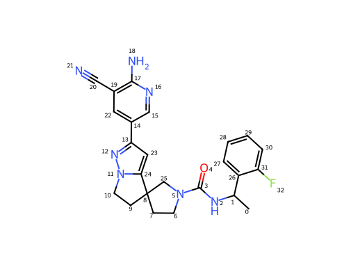 CC(NC(=O)N1CCC2(CCn3nc(-c4cnc(N)c(C#N)c4)cc32)C1)c1ccccc1F